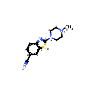 CN1CCN(c2nc3ccc(C#N)cc3s2)CC1